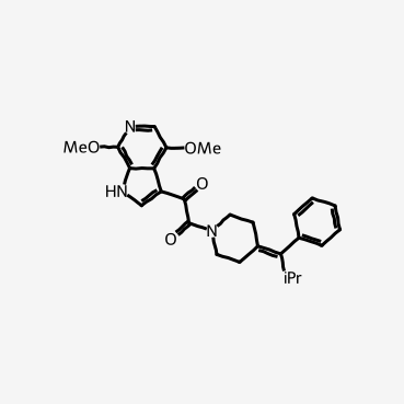 COc1ncc(OC)c2c(C(=O)C(=O)N3CCC(=C(c4ccccc4)C(C)C)CC3)c[nH]c12